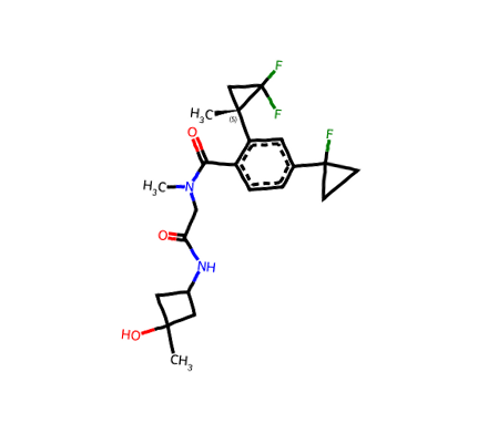 CN(CC(=O)NC1CC(C)(O)C1)C(=O)c1ccc(C2(F)CC2)cc1[C@]1(C)CC1(F)F